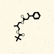 CC(COC(=O)CC(C)c1ccccc1)COC(=O)C(C)(C)C